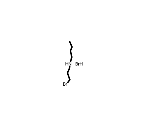 Br.CCCCNCCCBr